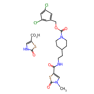 Cn1cc(C(=O)NCCC2CCN(C(=O)OCc3cc(Cl)cc(Cl)c3)CC2)sc1=O.O=C(O)c1c[nH]c(=O)s1